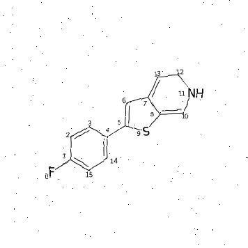 Fc1ccc(-c2cc3c(s2)=CNCC=3)cc1